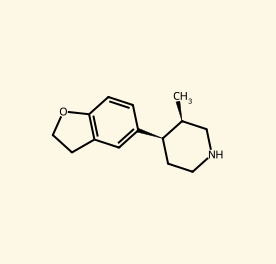 C[C@H]1CNCC[C@H]1c1ccc2c(c1)CCO2